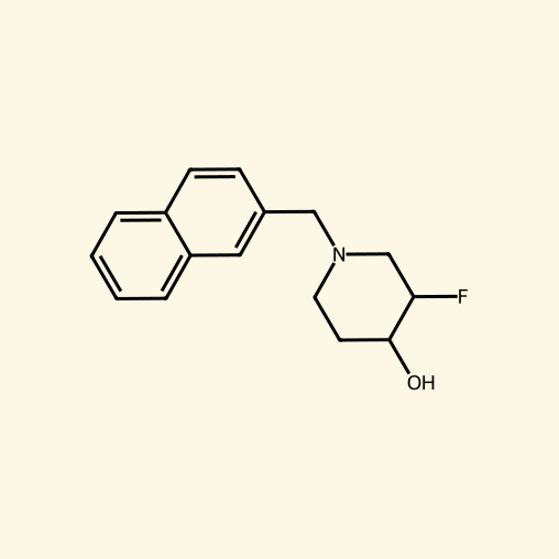 OC1CCN(Cc2ccc3ccccc3c2)CC1F